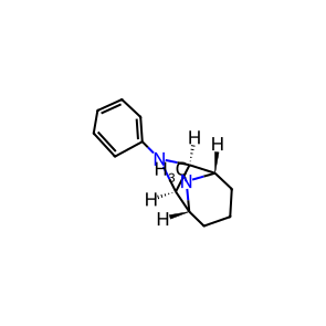 CN1[C@@H]2CCC[C@H]1[C@H]1[C@@H]2N1c1ccccc1